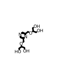 OCC(CO)OCc1cncc(COC(CO)CO)n1